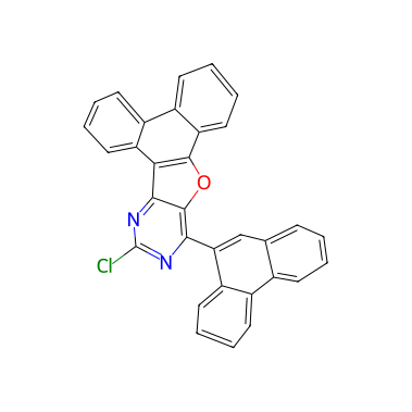 Clc1nc(-c2cc3ccccc3c3ccccc23)c2oc3c4ccccc4c4ccccc4c3c2n1